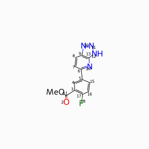 COC(=O)c1cc(-c2ccc3nn[nH]c3n2)ccc1F